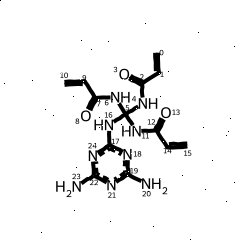 C=CC(=O)NC(NC(=O)C=C)(NC(=O)C=C)Nc1nc(N)nc(N)n1